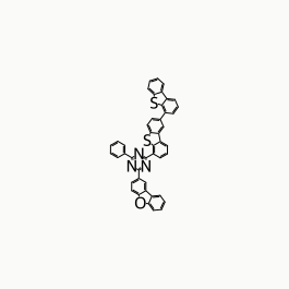 c1ccc(-c2nc(-c3ccc4oc5ccccc5c4c3)nc(-c3cccc4c3sc3ccc(-c5cccc6c5sc5ccccc56)cc34)n2)cc1